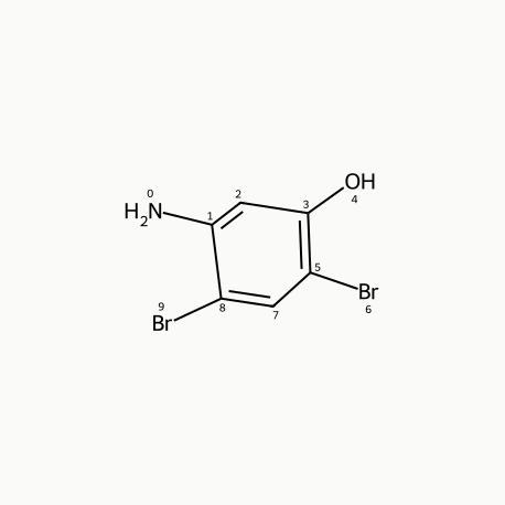 Nc1cc(O)c(Br)cc1Br